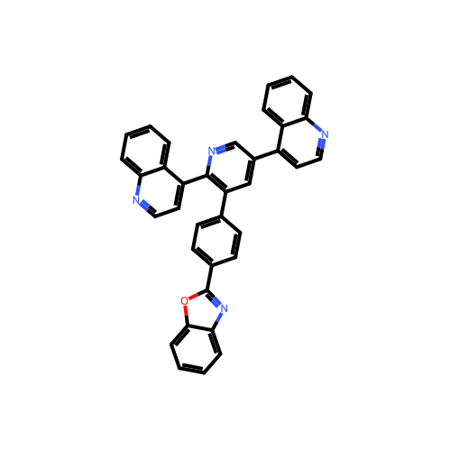 c1ccc2oc(-c3ccc(-c4cc(-c5ccnc6ccccc56)cnc4-c4ccnc5ccccc45)cc3)nc2c1